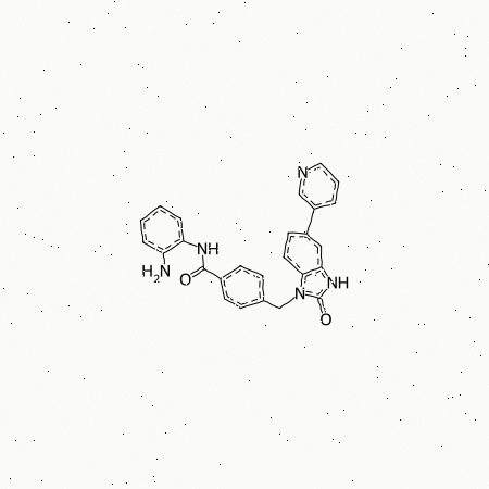 Nc1ccccc1NC(=O)c1ccc(Cn2c(=O)[nH]c3cc(-c4cccnc4)ccc32)cc1